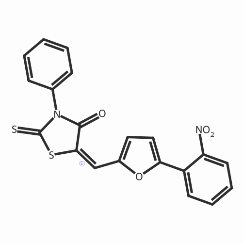 O=C1/C(=C\c2ccc(-c3ccccc3[N+](=O)[O-])o2)SC(=S)N1c1ccccc1